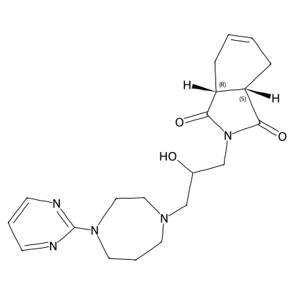 O=C1[C@H]2CC=CC[C@H]2C(=O)N1CC(O)CN1CCCN(c2ncccn2)CC1